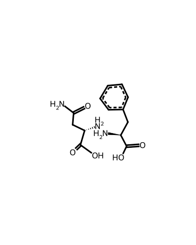 NC(=O)C[C@H](N)C(=O)O.N[C@@H](Cc1ccccc1)C(=O)O